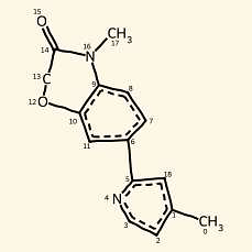 Cc1ccnc(-c2ccc3c(c2)OCC(=O)N3C)c1